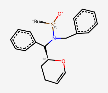 CC(C)(C)[S@@+]([O-])N(Cc1ccccc1)C(c1ccccc1)[C@@H]1CCC=CO1